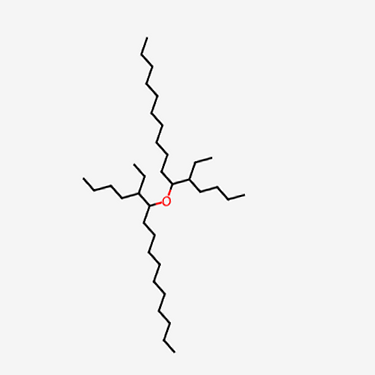 CCCCCCCCCCC(OC(CCCCCCCCCC)C(CC)CCCC)C(CC)CCCC